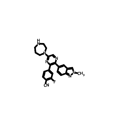 Cn1cc2cc(-c3ncc(N4CCCNCC4)nc3-c3ccc(C#N)c(F)c3)ccc2n1